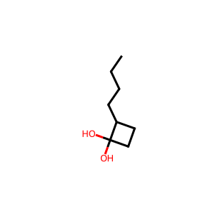 CCCCC1CCC1(O)O